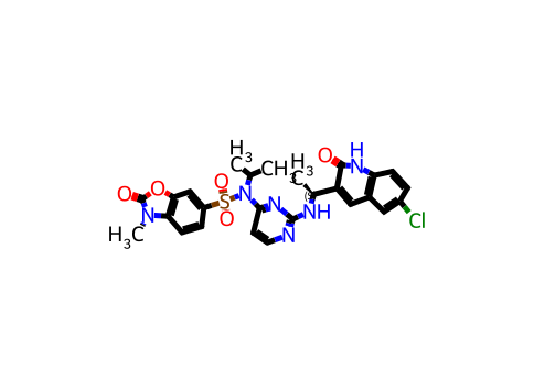 CC(C)N(c1ccnc(N[C@@H](C)c2cc3cc(Cl)ccc3[nH]c2=O)n1)S(=O)(=O)c1ccc2c(c1)oc(=O)n2C